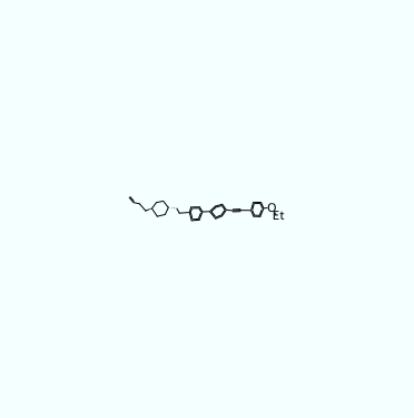 C=CCC[C@H]1CC[C@H](CCc2ccc(-c3ccc(C#Cc4ccc(OCC)cc4)cc3)cc2)CC1